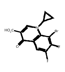 O=C(O)c1cn(C2CC2)c2c(Br)c(F)c(F)cc2c1=O